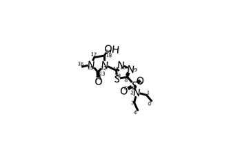 CCN(CC)S(=O)(=O)c1nnc(N2C(=O)N(C)CC2O)s1